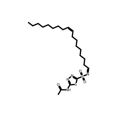 CCCCCCCC/C=C\CCCCCCC/C=N\S(=O)(=O)c1nnc(NC(C)=O)s1